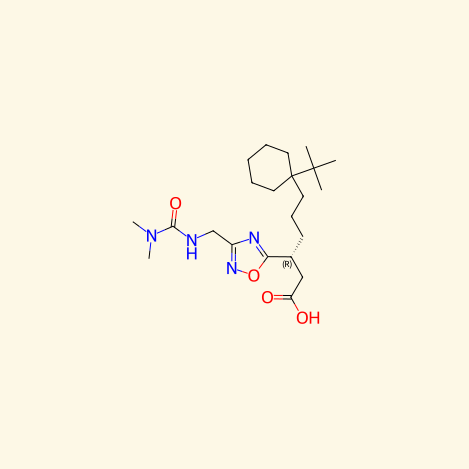 CN(C)C(=O)NCc1noc([C@H](CCCC2(C(C)(C)C)CCCCC2)CC(=O)O)n1